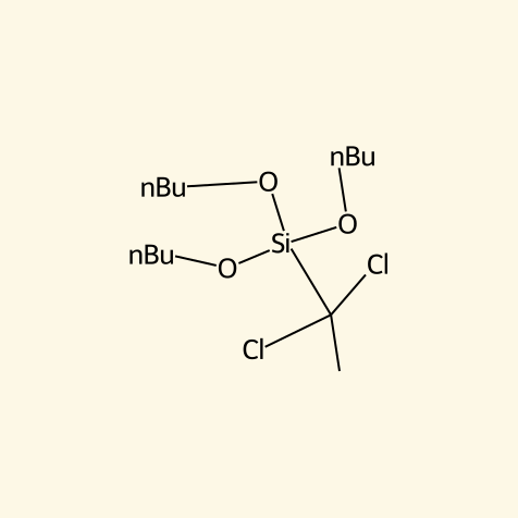 CCCCO[Si](OCCCC)(OCCCC)C(C)(Cl)Cl